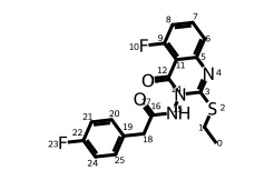 CCSc1nc2cccc(F)c2c(=O)n1NC(=O)Cc1ccc(F)cc1